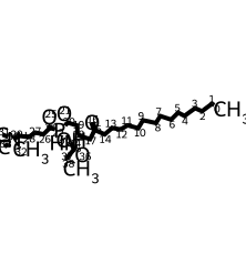 CCCCCCCCCCCCCCCC(=O)CC(CC(=O)P(O)C(=O)CCCC[N+](C)(C)C)NC(=O)CC